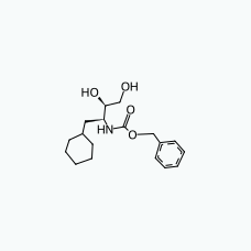 O=C(N[C@@H](CC1CCCCC1)[C@@H](O)CO)OCc1ccccc1